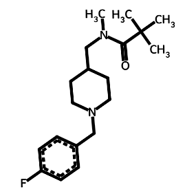 CN(CC1CCN(Cc2ccc(F)cc2)CC1)C(=O)C(C)(C)C